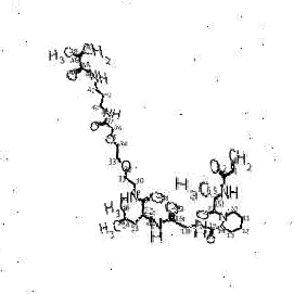 C=CC(=O)N[C@@H](C)C(=O)N1CCCC[C@H]1C(=O)NCC(=O)NC(CC(C)C)C(=O)NCCOCCOCC(=O)NCCCNC(=O)C(=C)C